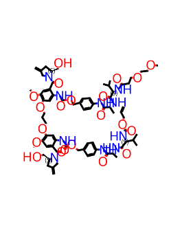 C=CCOC(=O)N[C@H](C(=O)NC(C)C(=O)Nc1ccc(COC(=O)Nc2cc(OCCCOc3cc(NC(=O)OCc4ccc(NC(=O)C(C)NC(=O)[C@@H](NC(=O)CCOCCOC)C(C)C)cc4)c(C(=O)N4CC(=C)C[C@H]4CO)cc3OC)c(OC)cc2C(=O)N2CC(=C)C[C@H]2CO)cc1)C(C)C